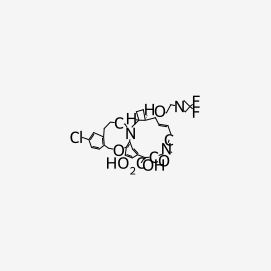 CN1CC/C=C/[C@H](OCCN2CC(F)(F)C2)[C@@H]2CC[C@H]2CN2CCCCc3cc(Cl)ccc3COc3ccc(cc32)C(O)(C(=O)O)CC1=O